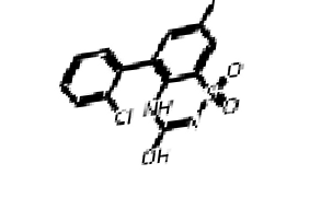 O=S1(=O)N=C(O)Nc2c(-c3ccccc3Cl)cc(F)cc21